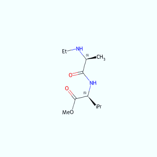 CCN[C@@H](C)C(=O)N[C@H](C(=O)OC)C(C)C